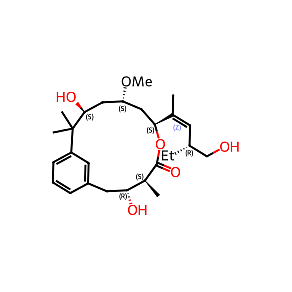 CC[C@H](/C=C(/C)[C@@H]1C[C@@H](OC)C[C@H](O)C(C)(C)c2cccc(c2)C[C@@H](O)[C@H](C)C(=O)O1)CO